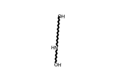 OCCCCCCCCCCCCCCCCNCCCCCCCCO